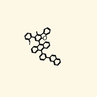 Cc1c(-c2ccccc2I)cc(-c2c3ccccc3c(-c3cccc(-c4ccc5ccccc5c4)c3)c3ccccc23)c2oc3ccccc3c12